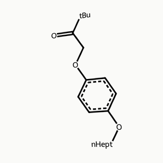 CCCCCCCOc1ccc(OCC(=O)C(C)(C)C)cc1